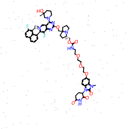 CCc1c(F)ccc2cccc(-c3ncc4c(N5CCC[C@@](C)(O)C5)nc(OC[C@@]56CCCN5[C@H](COC(=O)NCCOCCOCCOc5ccc7c(c5)n(C)c(=O)n7C5CCC(=O)NC5=O)CC6)nc4c3F)c12